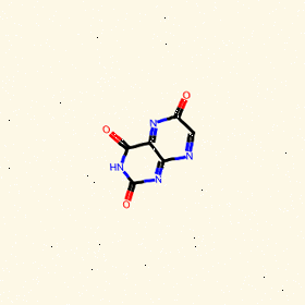 O=C1C=NC2=NC(=O)NC(=O)C2=N1